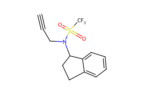 C#CCN(C1CCc2ccccc21)S(=O)(=O)C(F)(F)F